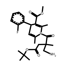 COC(=O)C1=C(C)N(C(=O)C(C)(CN)CC(=O)OC(C)(C)C)C(C)=CC1c1ccccc1F